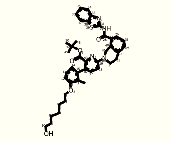 Cc1c(OCCCCCCCO)cccc1-c1ccc(N2CCc3cccc(C(=O)Nc4nc5ccccc5s4)c3C2)nc1C(=O)OC(C)(C)C